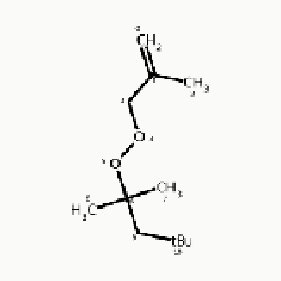 C=C(C)[CH]OOC(C)(C)CC(C)(C)C